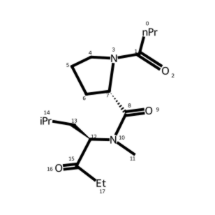 CCCC(=O)N1CCC[C@H]1C(=O)N(C)[C@H](CC(C)C)C(=O)CC